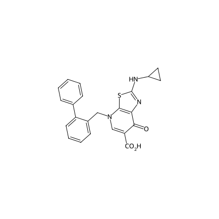 O=C(O)c1cn(Cc2ccccc2-c2ccccc2)c2sc(NC3CC3)nc2c1=O